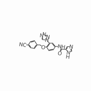 N#Cc1ccc(COc2ccc(NC(=O)c3cnc[nH]3)cc2-n2cnnn2)cc1